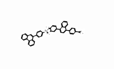 N#Cc1ccc(-c2ccc(-c3ccc4nn(-c5ccc(-c6cc7ccccc7c7ccccc67)cc5)nc4c3)c3ccccc23)cc1